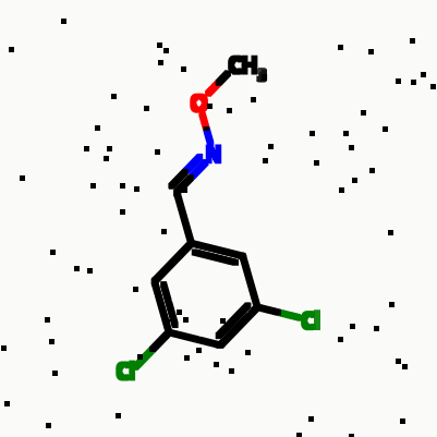 CO/N=C/c1cc(Cl)cc(Cl)c1